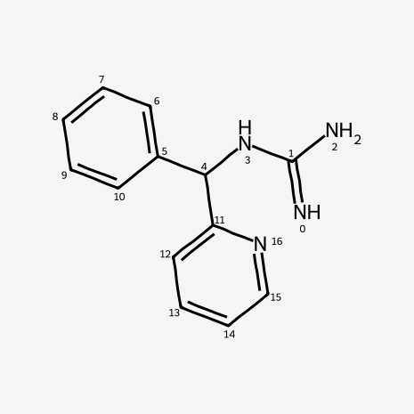 N=C(N)NC(c1ccccc1)c1ccccn1